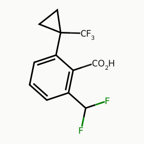 O=C(O)c1c(C(F)F)cccc1C1(C(F)(F)F)CC1